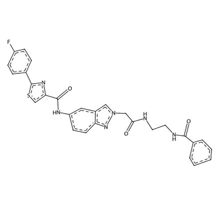 O=C(Cn1cc2cc(NC(=O)c3csc(-c4ccc(F)cc4)n3)ccc2n1)NCCNC(=O)c1ccccc1